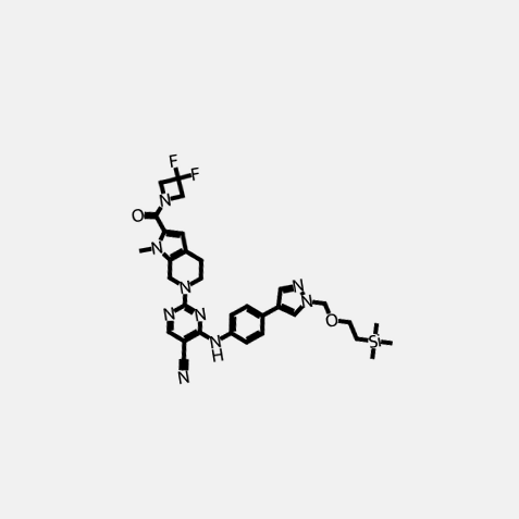 Cn1c(C(=O)N2CC(F)(F)C2)cc2c1CN(c1ncc(C#N)c(Nc3ccc(-c4cnn(COCC[Si](C)(C)C)c4)cc3)n1)CC2